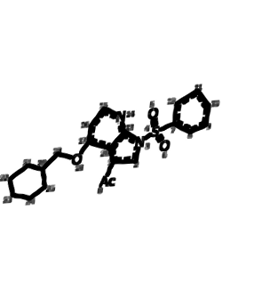 CC(=O)c1cn(S(=O)(=O)c2ccccc2)c2nccc(OCC3CCCCC3)c12